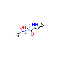 NC(CC1CC1)C(=O)NSN(O)C1CC1